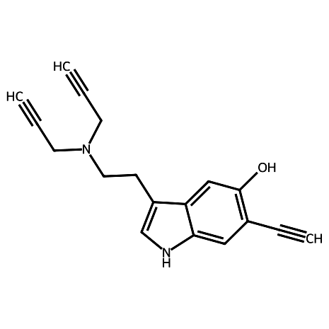 C#CCN(CC#C)CCc1c[nH]c2cc(C#C)c(O)cc12